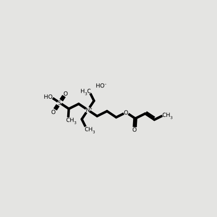 CC=CC(=O)OCCC[N+](CC)(CC)CC(C)S(=O)(=O)O.[OH-]